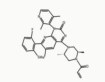 C=CC(=O)N1C[C@H](C)N(c2nc(=O)n(-c3c(C)ccnc3C)c3nc(-c4c(F)cccc4SC)c(F)cc23)C[C@H]1C